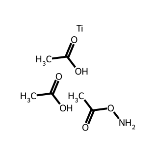 CC(=O)O.CC(=O)O.CC(=O)ON.[Ti]